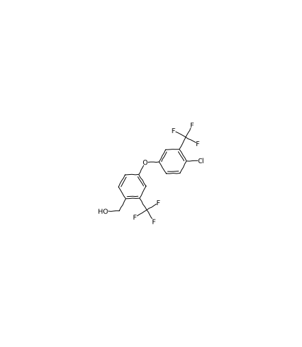 OCc1ccc(Oc2ccc(Cl)c(C(F)(F)F)c2)cc1C(F)(F)F